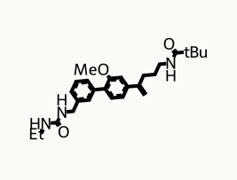 C=C(CCCNC(=O)C(C)(C)C)c1ccc(-c2cccc(CNC(=O)NCC)c2)c(OC)c1